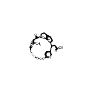 Cc1cc2ccc1C(=O)N1CCc3ccc(cc3C1)C(CC(=O)O)c1ccc(nc1)OCCCCC2